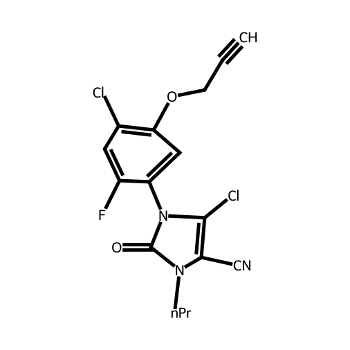 C#CCOc1cc(-n2c(Cl)c(C#N)n(CCC)c2=O)c(F)cc1Cl